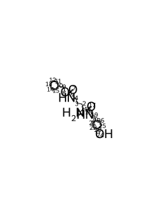 NC(CCCNC(=O)OCc1ccccc1)C(=O)NCc1ccc(O)cc1